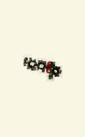 CC[C@H]1CC[C@H]([C@H]2CC[C@H](C(=O)Oc3c(F)cccc3F)CC2)CC1